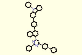 c1ccc(-c2ccc(-c3cc(-c4ccc(-c5ccc(-c6ccc7c(c6)c6ccccc6n7-c6ccccc6)cc5)c5ccccc45)nc(-c4ccccc4)n3)cc2)cc1